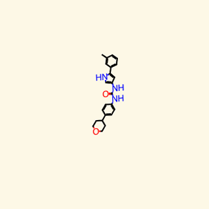 Cc1cccc(-c2cc(NC(=O)Nc3ccc(C4CCOCC4)cc3)c[nH]2)c1